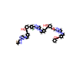 OC1(C#Cc2ccc3ccn(-c4ccnc(NCCOCC5CCCC(O)(C#Cc6ccc7ccn(-c8ccnc(NCc9ccc(C%10CCCC(O)(C#Cc%11ccc%12ccn(-c%13ccnc(NCc%14cccs%14)n%13)c%12c%11)C%10)cc9F)n8)c7c6)C5)n4)c3c2)CCCCC1